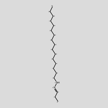 CCC=NNCCCCCCCCCCCCCCCC